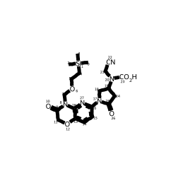 C[Si](C)(C)CCOCN1C(=O)COc2ccc(N3CC(N(CC#N)C(=O)O)CC3=O)nc21